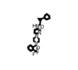 O=C(Nc1ccc(N2CCN(C(=O)c3ccccc3C(F)(F)F)CC2)nn1)C1CC1c1ccccc1